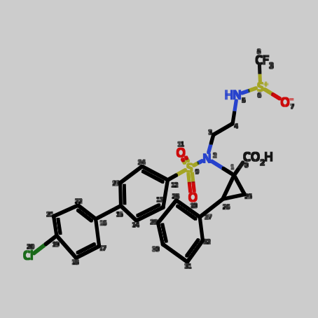 O=C(O)C1(N(CCN[S+]([O-])C(F)(F)F)S(=O)(=O)c2ccc(-c3ccc(Cl)cc3)cc2)CC1c1ccccc1